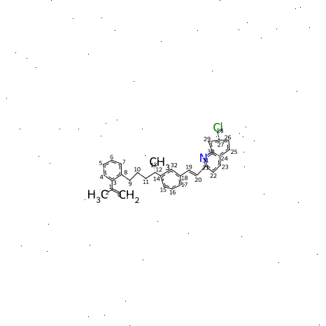 C=C(C)c1ccccc1CCC[C@H](C)c1cccc(C=Cc2ccc3ccc(Cl)cc3n2)c1